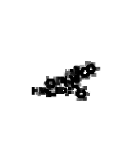 N=C(N)N1CCC[C@@H](CNC(=O)C[C@H](NS(=O)(=O)c2ccc3ccccc3c2)C(=O)N[C@H](Cc2ccccc2)C(=O)O)C1